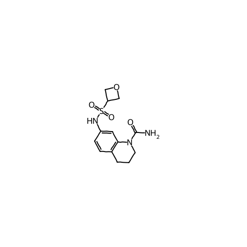 NC(=O)N1CCCc2ccc(NS(=O)(=O)C3COC3)cc21